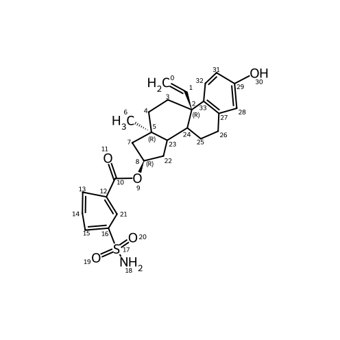 C=C[C@]12CC[C@]3(C)C[C@H](OC(=O)c4cccc(S(N)(=O)=O)c4)CC3C1CCc1cc(O)ccc12